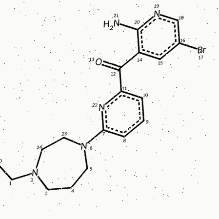 CCN1CCCN(c2cccc(C(=O)c3cc(Br)cnc3N)n2)CC1